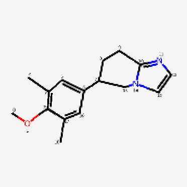 COc1c(C)cc(C2CCc3n[c]cn3C2)cc1C